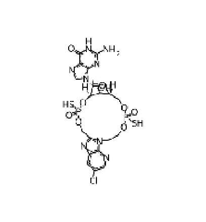 Nc1nc2c(ncn2[C@@H]2O[C@@H]3COP(=O)(S)OCCn4c(nc5cc(Cl)cnc54)COP(=O)(S)O[C@@H]2[C@@H]3O)c(=O)[nH]1